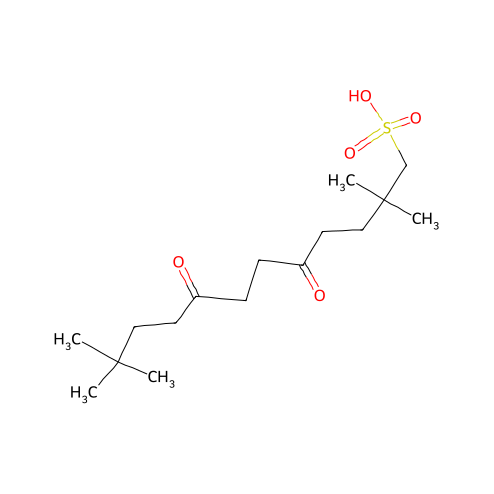 CC(C)(C)CCC(=O)CCC(=O)CCC(C)(C)CS(=O)(=O)O